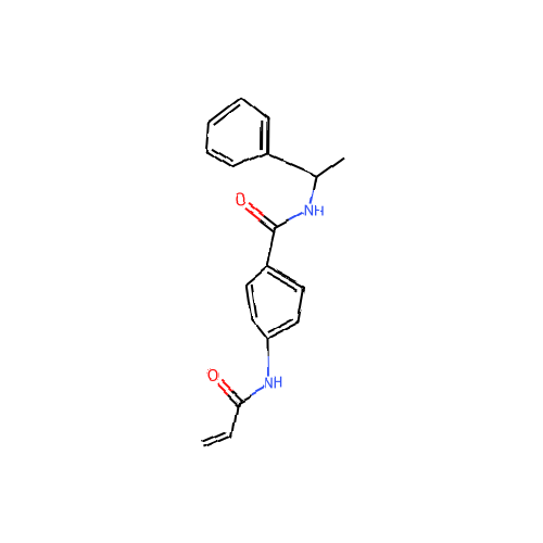 C=CC(=O)Nc1ccc(C(=O)NC(C)c2ccccc2)cc1